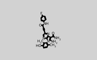 Cc1ccc(O)c(C)c1-n1c(N)c(C(N)=O)c2nc(C#CC(=O)Nc3ccc(F)cc3)cnc21